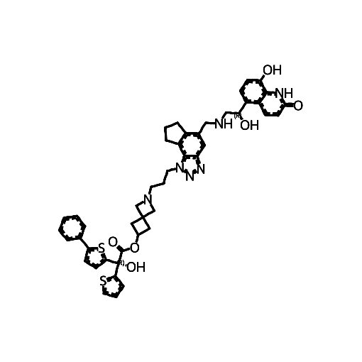 O=C(OC1CC2(C1)CN(CCCn1nnc3cc(CNC[C@H](O)c4ccc(O)c5[nH]c(=O)ccc45)c4c(c31)CCC4)C2)[C@@](O)(c1cccs1)c1ccc(-c2ccccc2)s1